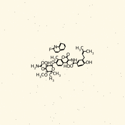 CO[C@@H]1[C@@H](OC(N)=O)[C@@H](O)[C@H](Oc2ccc3c(O)c(NC(=O)c4ccc(O)c(CC=C(C)C)c4)c(=O)oc3c2C)OC1(C)C.Fc1ccc2ccccc2n1